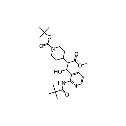 COC(=O)C(C1CCN(C(=O)OC(C)(C)C)CC1)C(O)c1cccnc1NC(=O)C(C)(C)C